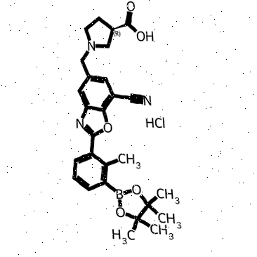 Cc1c(B2OC(C)(C)C(C)(C)O2)cccc1-c1nc2cc(CN3CC[C@@H](C(=O)O)C3)cc(C#N)c2o1.Cl